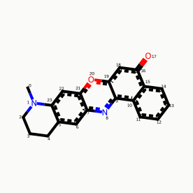 CN1CCCc2cc3nc4c5ccccc5c(=O)cc-4oc3cc21